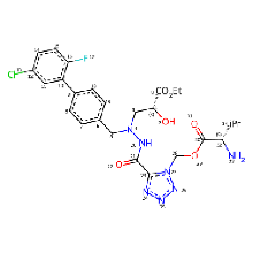 CCOC(=O)[C@H](O)CN(Cc1ccc(-c2cc(Cl)ccc2F)cc1)NC(=O)c1nnnn1COC(=O)[C@@H](N)C(C)C